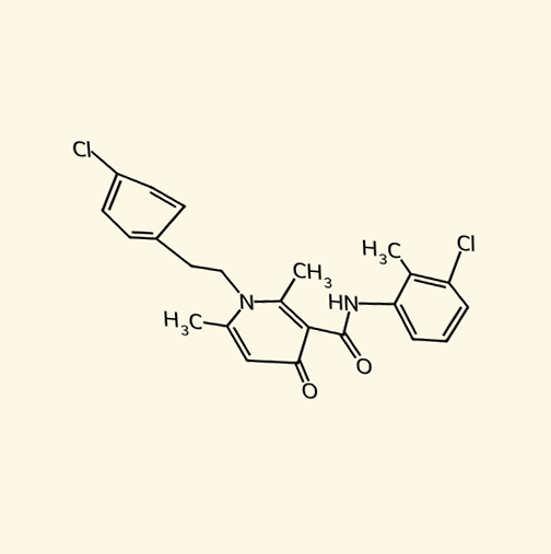 Cc1c(Cl)cccc1NC(=O)c1c(C)n(CCc2ccc(Cl)cc2)c(C)cc1=O